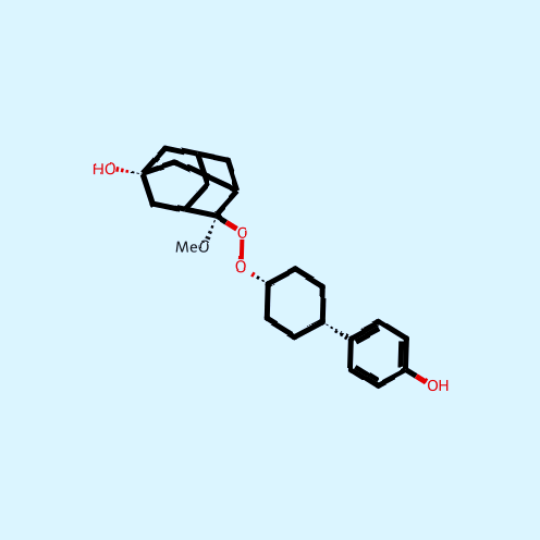 CO[C@]1(OO[C@H]2CC[C@@H](c3ccc(O)cc3)CC2)C2CC3CC1C[C@](O)(C3)C2